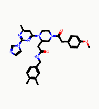 COc1ccc(CC(=O)N2CCN(c3cc(C)nc(-n4ccnc4)n3)C(CC(=O)NCc3ccc(C)c(C)c3)C2)cc1